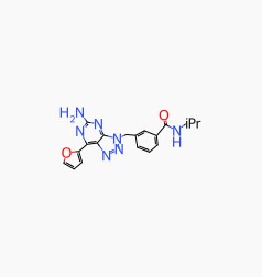 CC(C)NC(=O)c1cccc(Cn2nnc3c(-c4ccco4)nc(N)nc32)c1